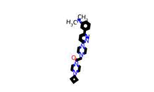 CN(C)c1cccc(-c2ccc(N3CCN(CC(=O)N4CCN(C5CCC5)CC4)CC3)nn2)c1